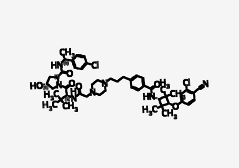 C[C@H](NC(=O)[C@@H]1C[C@@H](O)CN1C(=O)[C@@H](NC(=O)CN1CCN(CCCc2ccc(C(=O)N[C@H]3C(C)(C)[C@H](Oc4ccc(C#N)c(Cl)c4)C3(C)C)cc2)CC1)C(C)(C)C)c1ccc(Cl)cc1